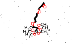 COC(OC)(C(C)OCCCCOCC1CO1)[Si](OC)(OC)OC